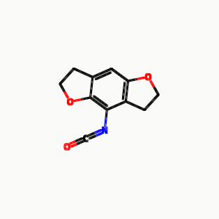 O=C=Nc1c2c(cc3c1OCC3)OCC2